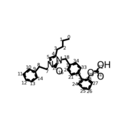 CCCCc1cn(CCc2ccccc2)c(=O)n1Cc1ccc(-c2ccccc2OC(=O)O)cc1